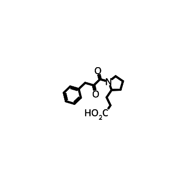 O=C(O)CCC1CCCN1C(=O)C(=O)Cc1ccccc1